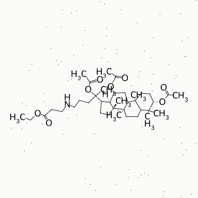 CCOC(=O)CCNCCCC(C)(OC(C)=O)C1CC[C@]2(C)[C@@H]1C(OC(C)=O)CC1[C@@]3(C)CC[C@H](OC(C)=O)C(C)(C)C3CC[C@]12C